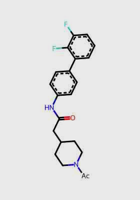 CC(=O)N1CCC(CC(=O)Nc2ccc(-c3cccc(F)c3F)cc2)CC1